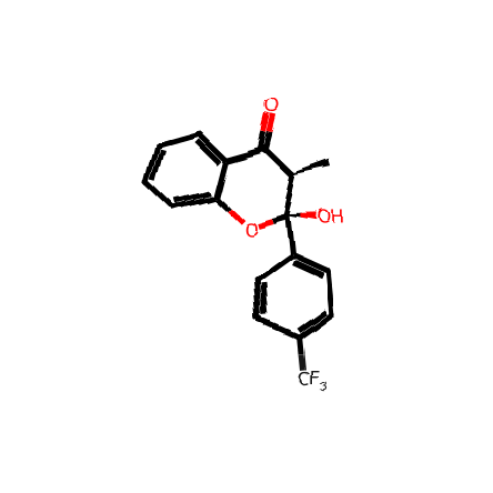 C[C@@H]1C(=O)c2ccccc2O[C@@]1(O)c1ccc(C(F)(F)F)cc1